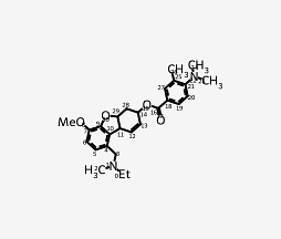 CCN(C)Cc1ccc(OC)c2c1C1C=CC(OC(=O)c3ccc(N(C)C)c(C)c3)CC1O2